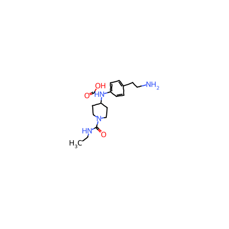 CCNC(=O)N1CCC(Nc2ccc(CCN)cc2)CC1.O=CO